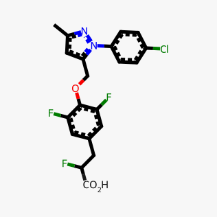 Cc1cc(COc2c(F)cc(CC(F)C(=O)O)cc2F)n(-c2ccc(Cl)cc2)n1